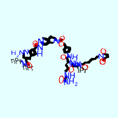 CCCN(CCC)C(=O)C1=Cc2ccc(C(=O)Nc3cc4c(cn3)CCN(C(=O)OCc3ccc(NC(=O)[C@H](CCCNC(N)=O)NC(=O)[C@@H](NC(=O)CCCCCN5C(=O)C=CC5=O)C(C)C)cc3)C4)cc2N=C(N)C1